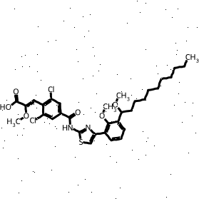 CCCCCCCCCCC(OC)c1cccc(-c2csc(NC(=O)c3cc(Cl)c(C=C(OC)C(=O)O)c(Cl)c3)n2)c1OC